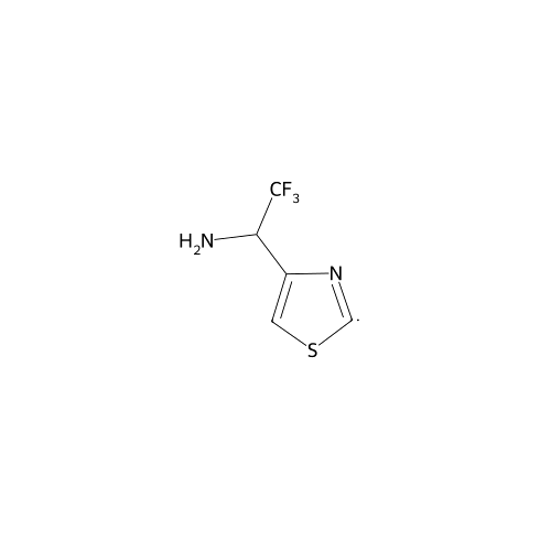 NC(c1cs[c]n1)C(F)(F)F